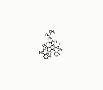 C=CC(=O)N1CC(C)N2c3nc(=O)n(-c4c(C)ccnc4C(C)C)c4cc(-c5c(O)cccc5F)c(F)c(c34)S(=O)(=O)CC2C1